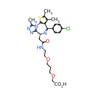 Cc1sc2c(c1C)C(c1ccc(Cl)cc1)=N[C@@H](CC(=O)NCCOCCCOCC(=O)O)c1nnc(C)n1-2